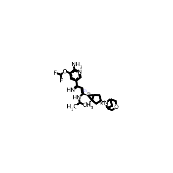 CC(C)N/C(=C\C(=N)c1cnc(N)c(OC(F)F)c1)[C@H]1C2C[C@@H](N3C4COCC3C4)C[C@@H]21